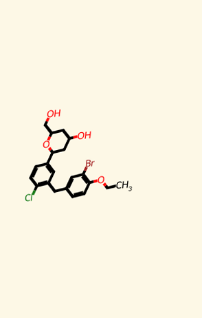 CCOc1ccc(Cc2cc(C3CC(O)CC(CO)O3)ccc2Cl)cc1Br